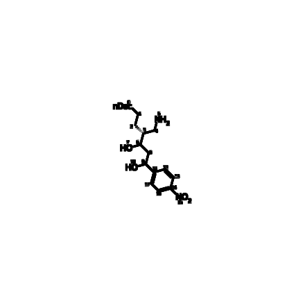 CCCCCCCCCCCC[C@H](CN)C(O)CC(O)c1ccc([N+](=O)[O-])cc1